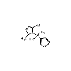 CCC1C=CC(C)N1C(C)(C)c1ccccc1